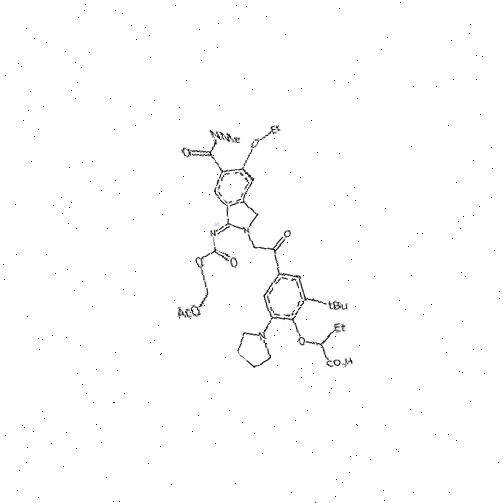 CCOc1cc2c(cc1C(=O)NC)/C(=N/C(=O)OCOC(C)=O)N(CC(=O)c1cc(N3CCCC3)c(OC(CC)C(=O)O)c(C(C)(C)C)c1)C2